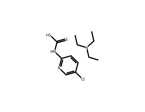 CCN(CC)CC.S=C(S)Nc1ccc(Cl)cn1